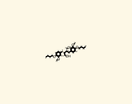 CCCCOc1ccc(C[C@@H](CO)[C@H](CO)Cc2ccc(OCCCC)c(OC)c2)cc1OC